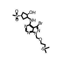 C[Si](C)(C)CCOCn1nc(Br)c2c(NC3C[C@@H](S(C)(=O)=O)C[C@H]3O)ncnc21